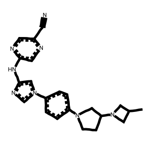 CC1CN(C2CCN(c3ccc(-n4cnc(Nc5cnc(C#N)cn5)c4)cc3)C2)C1